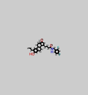 CCCc1cc2c(cc1O)CCC1C2CCC2(C)C(=O)C[C@@H](CCCC(=O)NCc3ccc(F)cc3F)C12